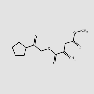 C=C(CC(=O)OC)C(=O)OCC(=O)C1CCCC1